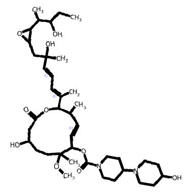 CCC(O)C(C)C1OC1CC(C)(O)/C=C/C=C(\C)C1OC(=O)CC(O)CCC(C)(OC)C(OC(=O)N2CCC(N3CCC(O)CC3)CC2)/C=C/C1C